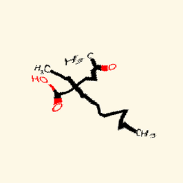 CCCCCCC(CC)(CC(C)=O)C(=O)O